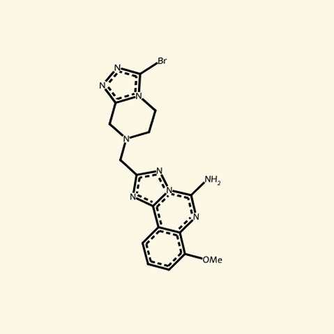 COc1cccc2c1nc(N)n1nc(CN3CCn4c(Br)nnc4C3)nc21